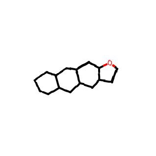 C1CCC2CC3CC4OCCC4CC3CC2C1